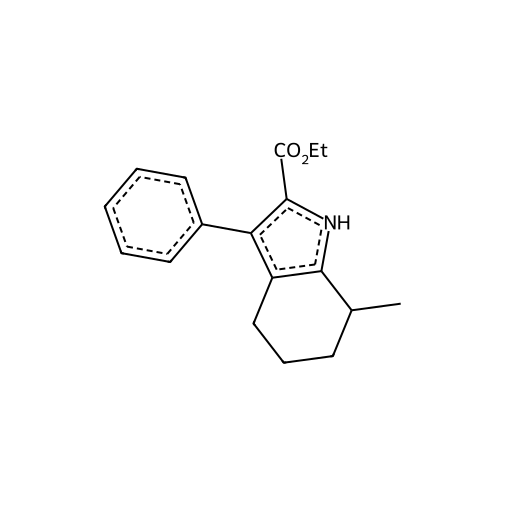 CCOC(=O)c1[nH]c2c(c1-c1ccccc1)CCCC2C